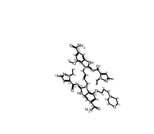 CCn1nc(C)cc1C(=O)/N=c1\[nH]c2cc(C(N)=O)cc(OC)c2n1C/C=C/Cn1/c(=N/C(=O)c2cc(I)nn2CC)[nH]c2cc(C(N)=O)cc(OCCCN3CCOCC3)c21